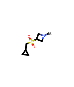 CCN1CC(S(=O)(=O)CC2CC2)C1